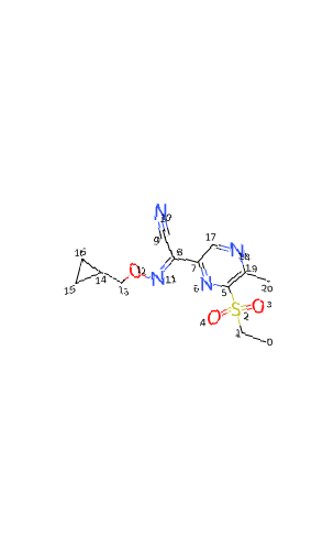 CCS(=O)(=O)c1nc(/C(C#N)=N/OCC2CC2)cnc1C